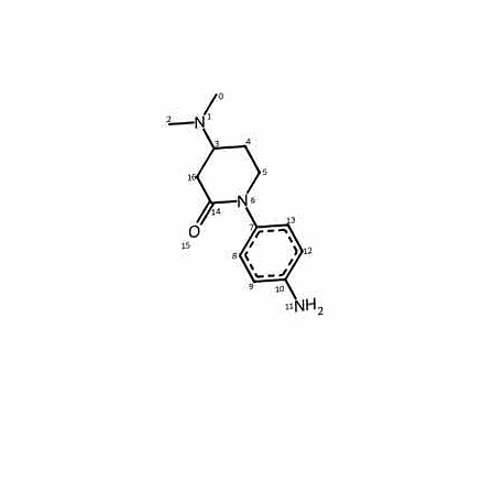 CN(C)C1CCN(c2ccc(N)cc2)C(=O)C1